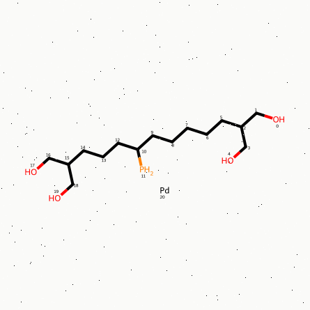 OCC(CO)CCCCCC(P)CCCC(CO)CO.[Pd]